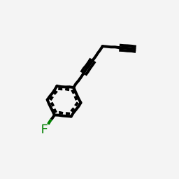 C#CCC#Cc1ccc(F)cc1